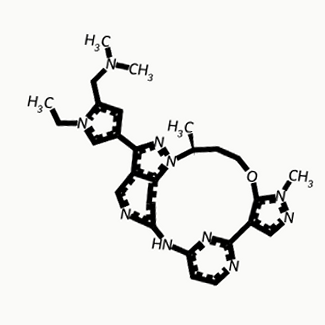 CCn1cc(-c2nn3c4cc(ncc24)Nc2ccnc(n2)-c2cnn(C)c2OCC[C@@H]3C)cc1CN(C)C